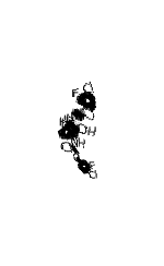 O=C(COc1ccc(Cl)c(F)c1)N[C@]12CC[C@H](C1)[C@@H](NCCOc1ccc(Cl)c(F)c1)[C@H](O)C2